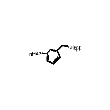 CCCCCCCCc1ccc[n+](CCCCCC)c1